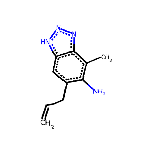 C=CCc1cc2[nH]nnc2c(C)c1N